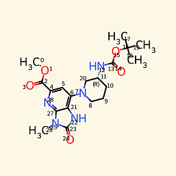 COC(=O)c1cc(N2CCC[C@@H](NC(=O)OC(C)(C)C)C2)c2[nH]c(=O)n(C)c2n1